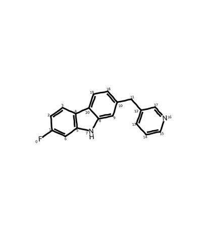 Fc1ccc2c(c1)[nH]c1cc(Cc3cccnc3)ccc12